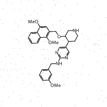 COc1cccc(CNc2ncc(C3CCNCC3OCc3cc(OC)c4ccccc4c3OC)cn2)c1